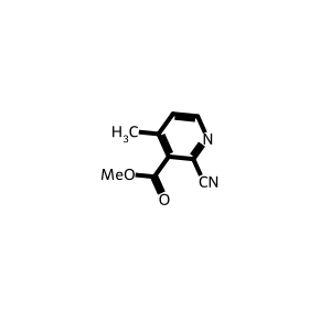 COC(=O)c1c(C)ccnc1C#N